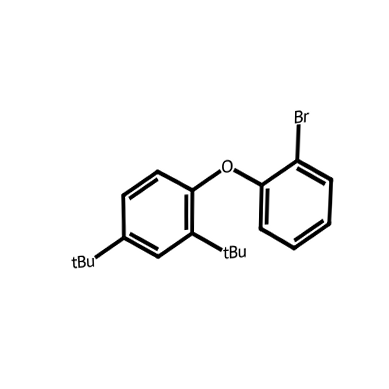 CC(C)(C)c1ccc(Oc2ccccc2Br)c(C(C)(C)C)c1